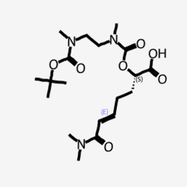 CN(C)C(=O)/C=C/CC[C@H](OC(=O)N(C)CCN(C)C(=O)OC(C)(C)C)C(=O)O